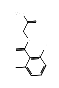 COC(=O)CNC(=O)c1c(Cl)cccc1Cl